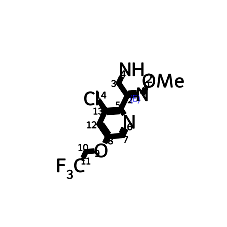 CO/N=C(\CN)c1ncc(OCC(F)(F)F)cc1Cl